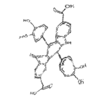 O=C(O)c1ccc2[nH]c3c(-c4ccc(O)c(O)c4)c4c([nH]c5ccc(C(=O)O)cc54)c(-c4ccc(O)c(O)c4)c3c2c1